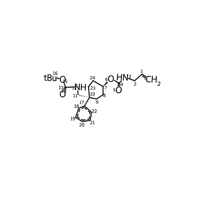 C=CCNC(=O)O[C@H]1CC[C@@](CNC(=O)OC(C)(C)C)(c2ccccc2)CC1